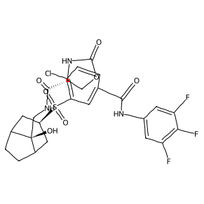 O=C1N[C@@H](C(=O)NC[C@]2(O)C3CCC2C[C@@H](S(=O)(=O)c2cc(C(=O)Nc4cc(F)c(F)c(F)c4)ccc2Cl)C3)CO1